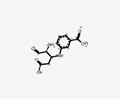 N[C@H](C=O)C(CC(=O)O)Nc1cccc(C(=O)O)c1